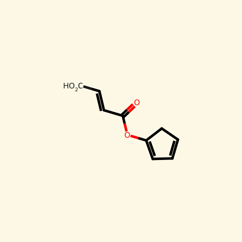 O=C(O)/C=C/C(=O)OC1=CC=CC1